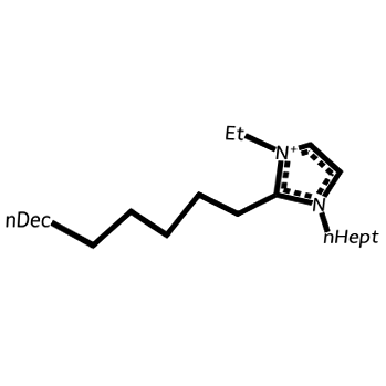 CCCCCCCCCCCCCCCc1n(CCCCCCC)cc[n+]1CC